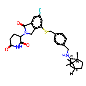 CC1(C)[C@@H]2CC[C@@]1(C)[C@@H](NCc1ccc(CSc3cc(F)cc4c3CN(C3CCC(=O)NC3=O)C4=O)cc1)C2